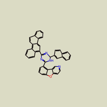 c1ccc2cc(C3N=C(c4cc5c6ccccc6ccc5c5ccccc45)N=C(c4cccc5oc6ccncc6c45)N3)ccc2c1